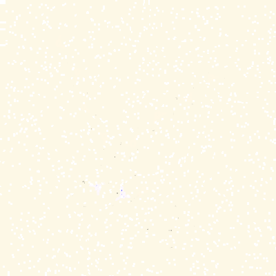 COCCOCCOCCOCC1(COCCOCCOCCOC)CC[C@@H](N(C)C(=O)Cc2ccc(Cl)c(Cl)c2)[C@H](N2CCCC2)C1